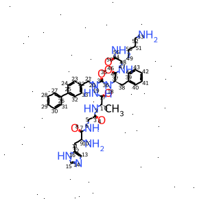 C[C@H](NC(=O)CNC(=O)[C@@H](N)Cc1cnc[nH]1)C(=O)NN(Cc1ccc(-c2ccccc2)cc1)C(=O)N[C@H](Cc1ccccc1)C(=O)N[C@@H](CCCCN)C(N)=O